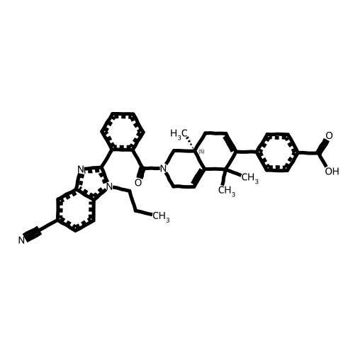 CCCn1c(-c2ccccc2C(=O)N2CC=C3C(C)(C)C(c4ccc(C(=O)O)cc4)=CC[C@]3(C)C2)nc2cc(C#N)ccc21